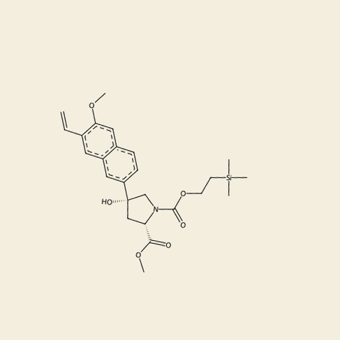 C=Cc1cc2cc([C@]3(O)C[C@@H](C(=O)OC)N(C(=O)OCC[Si](C)(C)C)C3)ccc2cc1OC